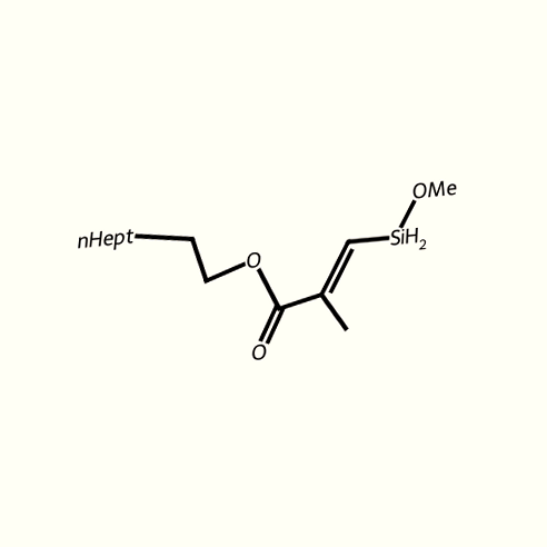 CCCCCCCCCOC(=O)C(C)=C[SiH2]OC